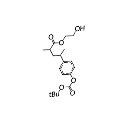 CC(CC(C)c1ccc(OC(=O)OC(C)(C)C)cc1)C(=O)OCCO